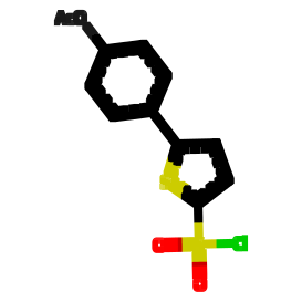 CC(=O)Oc1ccc(-c2ccc(S(=O)(=O)Cl)s2)cc1